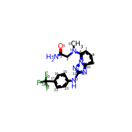 CN(CC(N)=O)c1cccc2nc(Nc3ccc(C(F)(F)F)cc3)nn12